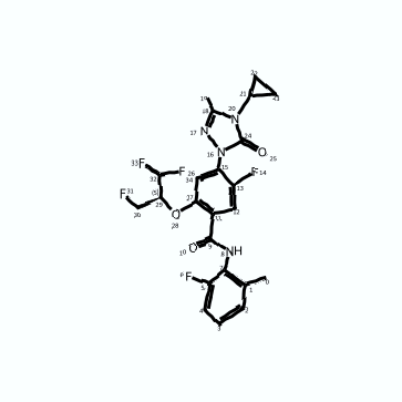 Cc1cccc(F)c1NC(=O)c1cc(F)c(-n2nc(C)n(C3CC3)c2=O)cc1O[C@@H](CF)C(F)F